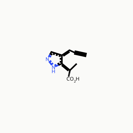 C#C/C=c1/cn[nH]/c1=C(/C)C(=O)O